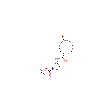 CC(C)(C)OC(=O)N1CC[C@@H](NC(=O)[C@@H]2CCCCCC(Br)CCC2)C1